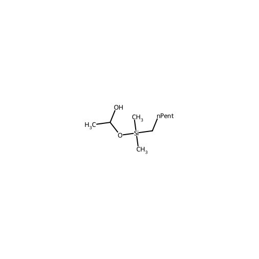 CCCCCC[Si](C)(C)OC(C)O